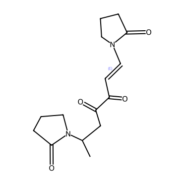 CC(CC(=O)C(=O)/C=C/N1CCCC1=O)N1CCCC1=O